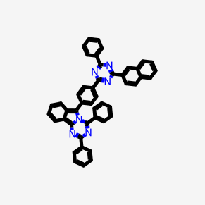 c1ccc(-c2nc(-c3ccc(-c4c5ccccc5c5nc(-c6ccccc6)nc(-c6ccccc6)n45)cc3)nc(-c3ccc4ccccc4c3)n2)cc1